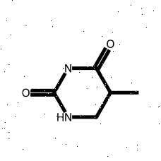 CC1CNC(=O)[N]C1=O